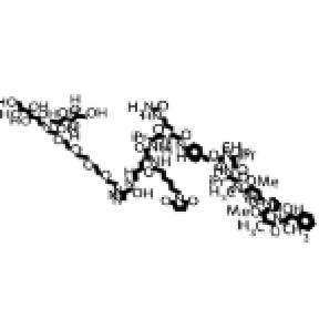 CC[C@H](C)[C@@H]([C@@H](CC(=O)N1CCC[C@H]1[C@H](OC)[C@@H](C)C(=O)N[C@H](C)[C@@H](O)c1ccccc1)OC)N(C)C(=O)[C@@H](NC(=O)[C@H](C(C)C)N(C)C(=O)OCc1ccc(NC(=O)[C@H](CCCNC(N)=O)NC(=O)[C@@H](NC(=O)[C@H](CCCCNC(O)c2cnnn2CCOCCOCCOCCOCCN(C[C@H](O)[C@@H](O)[C@H](O)[C@H](O)CO)C[C@H](O)[C@@H](O)[C@H](O)[C@H](O)CO)NC(=O)CCCCCN2C(=O)C=CC2=O)C(C)C)cc1)C(C)C